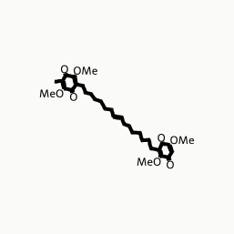 COC1=CC(=O)C(OC)=C(CCCCCCCC=CCCCCCCCC2=C(OC)C(=O)C(C)=C(OC)C2=O)C1=O